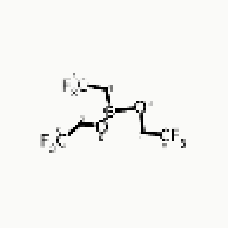 FC(F)(F)COB(CC(F)(F)F)OCC(F)(F)F